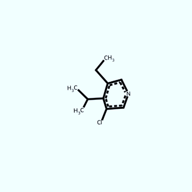 CCc1cncc(Cl)c1C(C)C